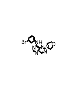 Brc1cccc(Nc2ncnc3cnc(N4CCOCC4)nc23)c1